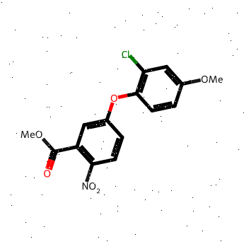 COC(=O)c1cc(Oc2ccc(OC)cc2Cl)ccc1[N+](=O)[O-]